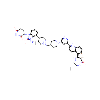 C[C@@H]1CNc2c(sc3ccc4nc(-c5cncc(N6CCC(CN7CCC(c8cccc9c8n(C)c(=O)n9C8CCC(=O)NC8=O)CC7)CC6)c5)ccc4c23)C(=O)N1